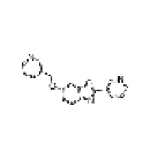 c1cncc(COc2ccc3nc(-c4cccnc4)oc3c2)c1